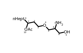 CCCCCCCC(CCOCC(N)CO)OC(C)=O